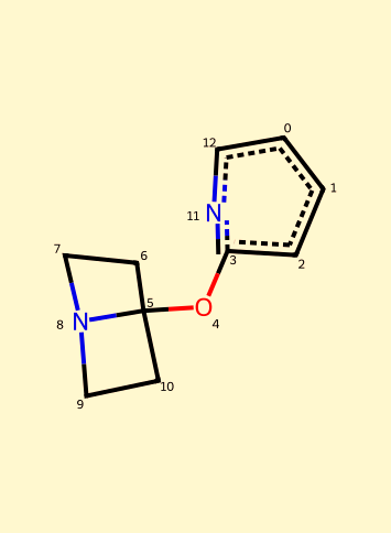 c1ccc(OC23CCN2CC3)nc1